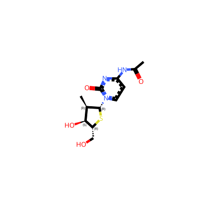 CC(=O)Nc1ccn([C@@H]2S[C@H](CO)[C@@H](O)[C@H]2C)c(=O)n1